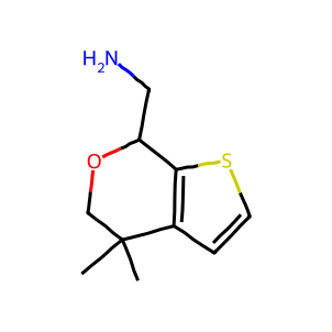 CC1(C)COC(CN)c2sccc21